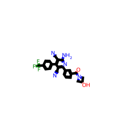 N#Cc1c(N)nc(-c2cccc(C(=O)N3CC(O)C3)c2)c(C#N)c1-c1ccc(C(F)(F)F)cc1